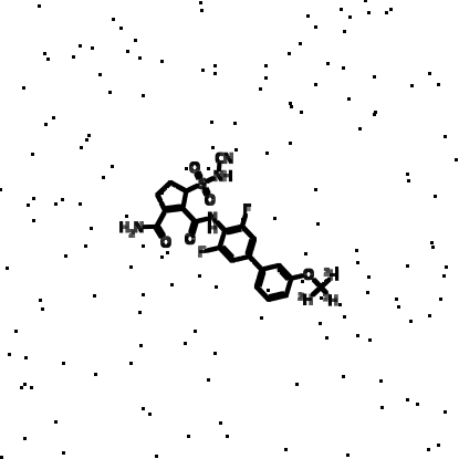 [2H]C([2H])([2H])Oc1cccc(-c2cc(F)c(NC(=O)C3=C(C(N)=O)CCC3S(=O)(=O)NC#N)c(F)c2)c1